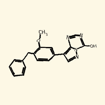 COc1cc(-c2cnn3c(O)ncnc23)ccc1Cc1ccccc1